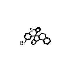 Brc1ccc2c(c1)C1(C3=C(CCC=C3)C3=C1CCc1ccccc13)c1ccc#cc1S2